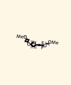 COCCOC(F)(F)C#Cc1ccc(OC2CC(OC)C2)cn1